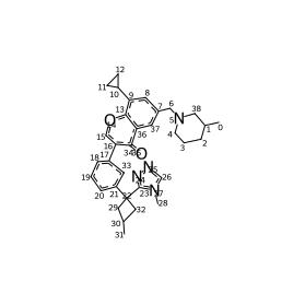 CC1CCCN(Cc2cc(C3CC3)c3occ(-c4cccc(C5(c6nncn6C)CC(C)C5)c4)c(=O)c3c2)C1